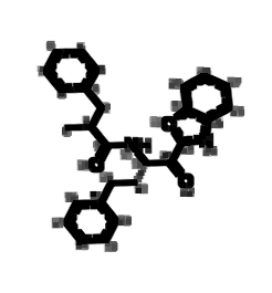 CC(Cc1ccccc1)C(=O)N[C@@H](CCc1ccccc1)C(=O)c1nc2ccccc2o1